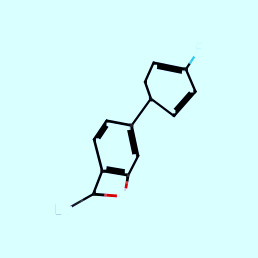 CCC1Oc2cc(C3C=CC(F)=CC3)ccc21